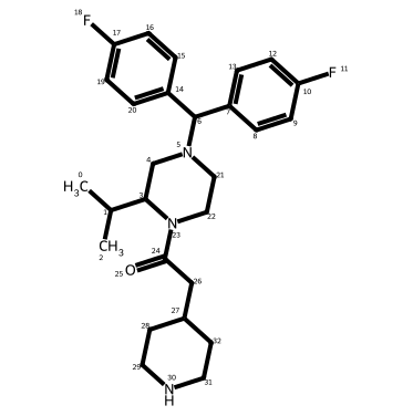 CC(C)C1CN(C(c2ccc(F)cc2)c2ccc(F)cc2)CCN1C(=O)CC1CCNCC1